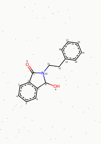 O=C1c2ccccc2C(O)N1CCc1ccccc1